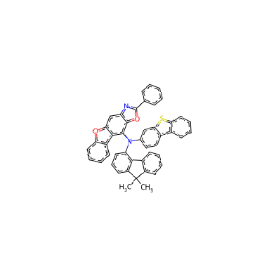 CC1(C)c2ccccc2-c2c(N(c3ccc4c(c3)sc3ccccc34)c3c4oc(-c5ccccc5)nc4cc4oc5ccccc5c34)cccc21